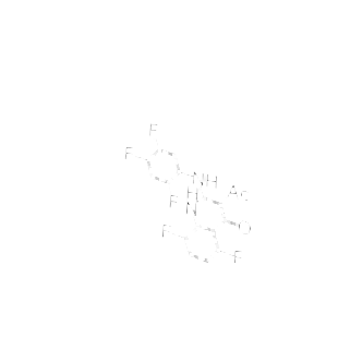 CC(=O)c1c(Nc2cc(F)c(F)cc2F)[nH]c2c(F)ccc(F)c2c1=O